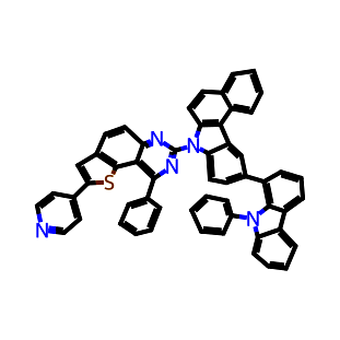 c1ccc(-c2nc(-n3c4ccc(-c5cccc6c7ccccc7n(-c7ccccc7)c56)cc4c4c5ccccc5ccc43)nc3ccc4cc(-c5ccncc5)sc4c23)cc1